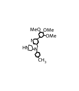 COc1cc(-c2cncc(CN(c3ccc(C)cc3)C3CCNCC3)c2)cc(OC)c1OC